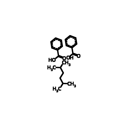 CC(C)CCC(C)C.O=C(O)c1ccccc1.O=C(O)c1ccccc1